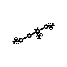 C=C(C)C(=O)Oc1ccc(C#Cc2ccc(C#Cc3c(OC(=O)C(=C)C)cc(C#Cc4ccc(OC(=O)C(=C)C)cc4)c(C)c3C)cc2)cc1